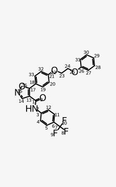 O=C(Nc1ccc(C(F)(F)F)cc1)c1cnoc1-c1ccc(OCCOc2ccccc2)cc1